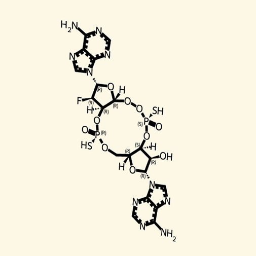 Nc1ncnc2c1ncn2[C@@H]1O[C@@H]2CO[P@@](=O)(S)O[C@@H]3[C@@H](OO[P@@](=O)(S)O[C@H]2[C@H]1O)O[C@@H](n1cnc2c(N)ncnc21)[C@@H]3F